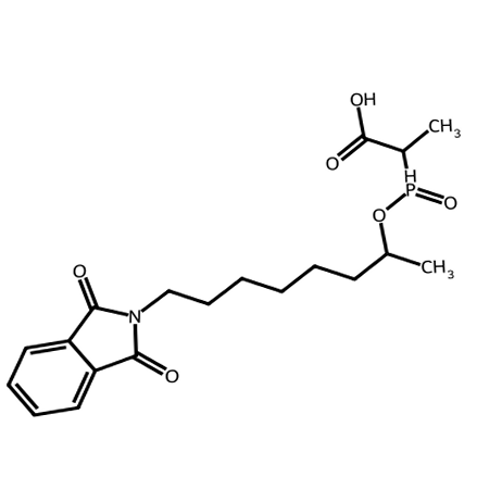 CC(CCCCCCN1C(=O)c2ccccc2C1=O)O[PH](=O)C(C)C(=O)O